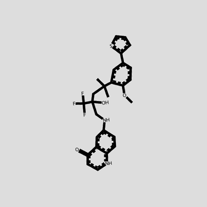 COc1ccc(-c2cccs2)cc1C(C)(C)CC(O)(CNc1ccc2[nH]ccc(=O)c2c1)C(F)(F)F